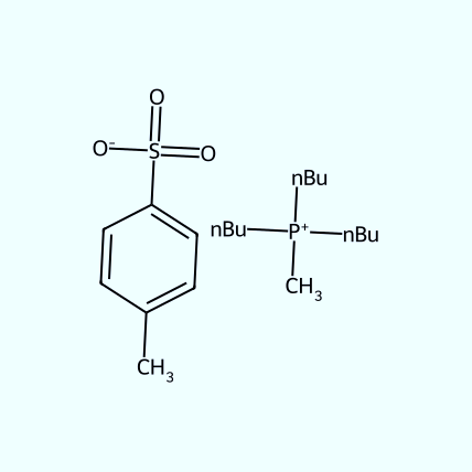 CCCC[P+](C)(CCCC)CCCC.Cc1ccc(S(=O)(=O)[O-])cc1